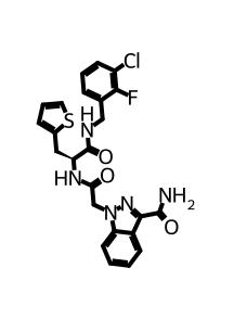 NC(=O)c1nn(CC(=O)N[C@@H](Cc2cccs2)C(=O)NCc2cccc(Cl)c2F)c2ccccc12